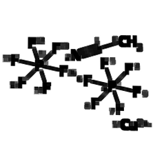 CC#N.F[P-](F)(F)(F)(F)F.F[P-](F)(F)(F)(F)F.[Cu+2]